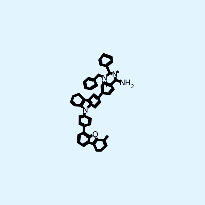 CC1=CCCc2c1oc1c(-c3ccc(-n4c5c(c6cc(-c7ccc(C(N)N(C)C(NCc8ccccc8)c8ccccc8)cc7)ccc64)CCC=C5)cc3)cccc21